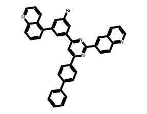 Brc1cc(-c2cc(-c3ccc(-c4ccccc4)cc3)nc(-c3ccc4ncccc4c3)n2)cc(-c2cccc3ncccc23)c1